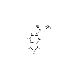 COC(=O)c1cnc2c(c1)COC2